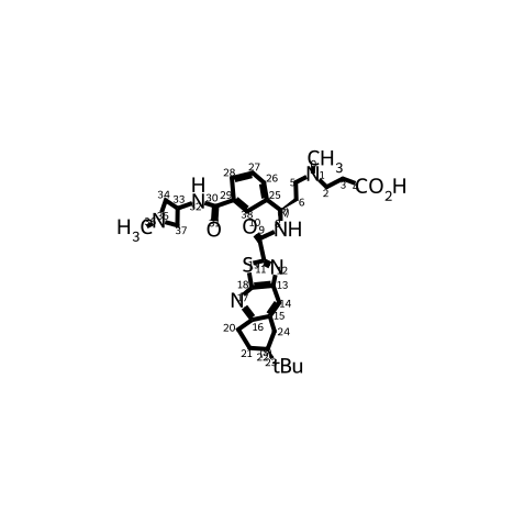 CN(CCC(=O)O)CC[C@@H](NC(=O)c1nc2cc3c(nc2s1)CC[C@H](C(C)(C)C)C3)c1cccc(C(=O)NC2CN(C)C2)c1